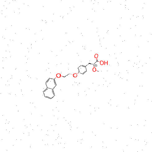 CO[C@@H](Cc1ccc(OCCOc2ccc3ccccc3c2)cc1)C(=O)O